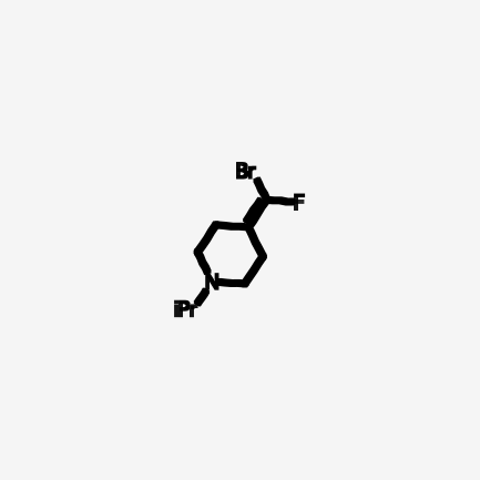 CC(C)N1CCC(=C(F)Br)CC1